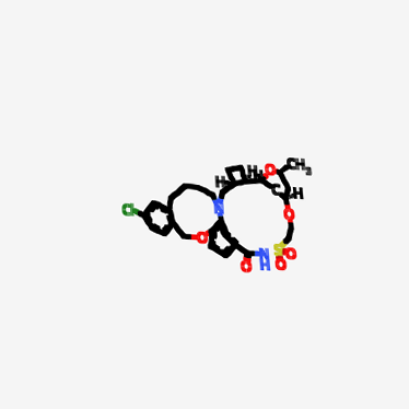 C[C@H]1C[C@@H]2C[C@H](O1)[C@@H]1CC[C@H]1CN1CCCCc3cc(Cl)ccc3COc3ccc(cc31)C(=O)NS(=O)(=O)CCO2